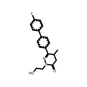 CC1CC(=O)N(CCO)N=C1c1ccc(-c2ccc(F)cc2)cc1